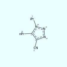 CCCc1c(C#N)nnn1C(C)C